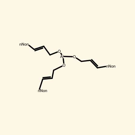 CCCCCCCCCC=CC[O][Al]([O]CC=CCCCCCCCCC)[O]CC=CCCCCCCCCC